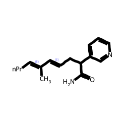 CCC/C=C(C)/C=C/CC(C(N)=O)c1cccnc1